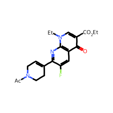 CCOC(=O)c1cn(CC)c2nc(C3=CCN(C(C)=O)CC3)c(F)cc2c1=O